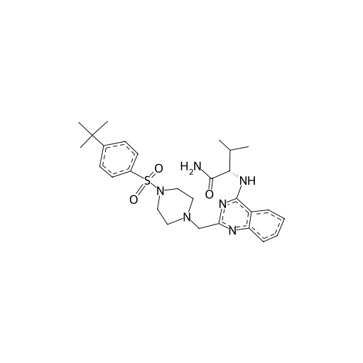 CC(C)[C@H](Nc1nc(CN2CCN(S(=O)(=O)c3ccc(C(C)(C)C)cc3)CC2)nc2ccccc12)C(N)=O